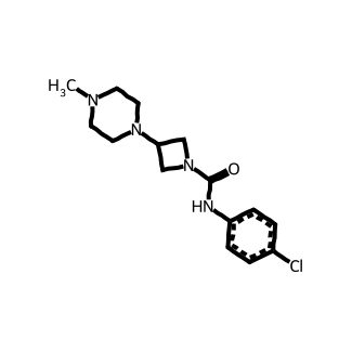 CN1CCN(C2CN(C(=O)Nc3ccc(Cl)cc3)C2)CC1